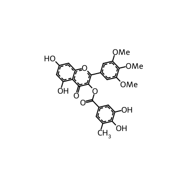 COc1cc(-c2oc3cc(O)cc(O)c3c(=O)c2OC(=O)c2cc(C)c(O)c(O)c2)cc(OC)c1OC